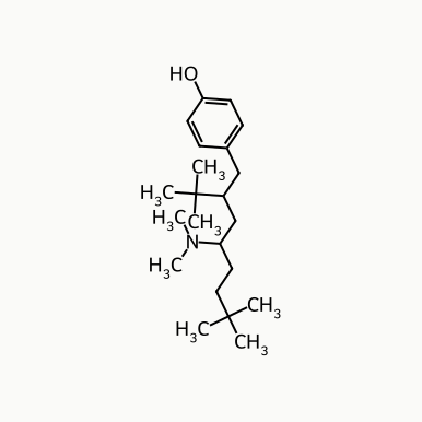 CN(C)C(CCC(C)(C)C)CC(Cc1ccc(O)cc1)C(C)(C)C